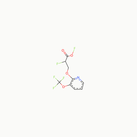 O=C(OF)C(F)COc1ncccc1OC(F)(F)F